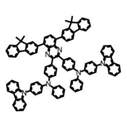 CC1(C)c2ccccc2-c2ccc(-c3ccc(-c4ccc5c(c4)C(C)(C)c4ccccc4-5)c4nc(-c5ccc(N(c6ccccc6)c6ccc(-n7c8ccccc8c8ccccc87)cc6)cc5)c(-c5ccc(N(c6ccccc6)c6ccc(-n7c8ccccc8c8ccccc87)cc6)cc5)nc34)cc21